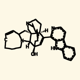 O[C@]12C=C(c3nccc4c3[nH]c3ccccc34)[C@@H]3CCN(CCCC/C=C\CC1)C[C@@]31CC3/C=C\CCCCN3[C@H]12